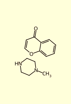 CN1CCNCC1.O=c1ccoc2ccccc12